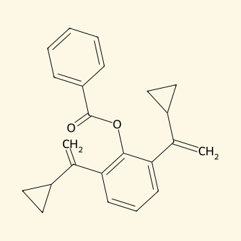 C=C(c1cccc(C(=C)C2CC2)c1OC(=O)c1ccccc1)C1CC1